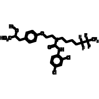 CCOC(Cc1ccc(OCCN(CCCCC(F)(F)C(F)(F)C(F)(F)F)C(=O)Nc2ccc(Cl)cc2Cl)cc1)C(=O)O